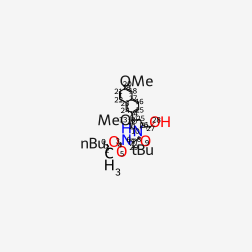 CCCCC(C)OC(=O)N[C@H](C(=O)N1C[C@](OC)(c2ccc3cc(OC)ccc3c2)C[C@H]1CO)C(C)(C)C